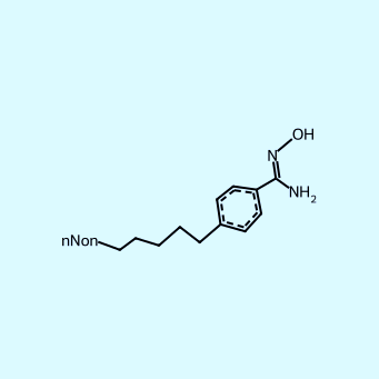 CCCCCCCCCCCCCCc1ccc(C(N)=NO)cc1